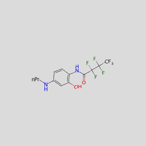 CCCNc1ccc(NC(=O)C(F)(F)C(F)(F)C(F)(F)F)c(O)c1